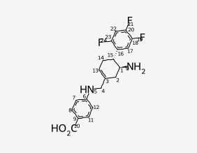 N[C@H]1CC(CNc2ccc(C(=O)O)cc2)=CC[C@@H]1c1cc(F)c(F)cc1F